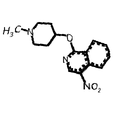 CN1CCC(Oc2ncc([N+](=O)[O-])c3ccccc23)CC1